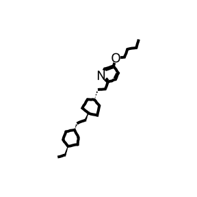 CCCCOc1ccc(CC[C@H]2CC[C@H](CC[C@H]3CC[C@H](CC)CC3)CC2)nc1